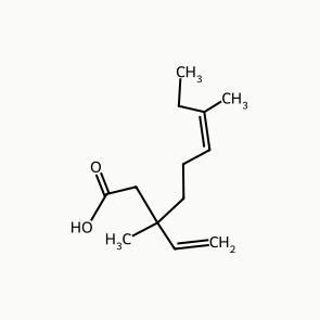 C=CC(C)(CCC=C(C)CC)CC(=O)O